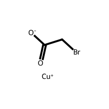 O=C([O-])CBr.[Cu+]